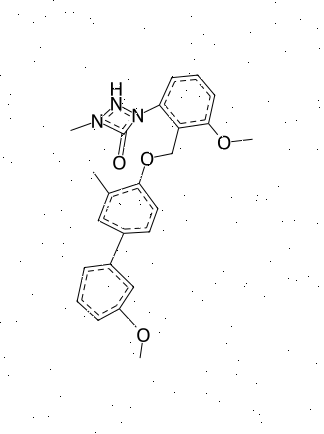 COc1cccc(-c2ccc(OCc3c(OC)cccc3-n3[nH]n(C)c3=O)c(C)c2)c1